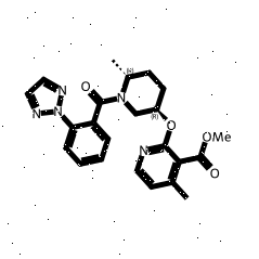 COC(=O)c1c(C)ccnc1O[C@@H]1CC[C@@H](C)N(C(=O)c2ccccc2-n2nccn2)C1